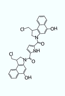 O=C(c1ccc(C(=O)N2CC(CCl)c3c2cc(O)c2ccccc32)[nH]1)N1CC(CCl)c2c1cc(O)c1ccccc21